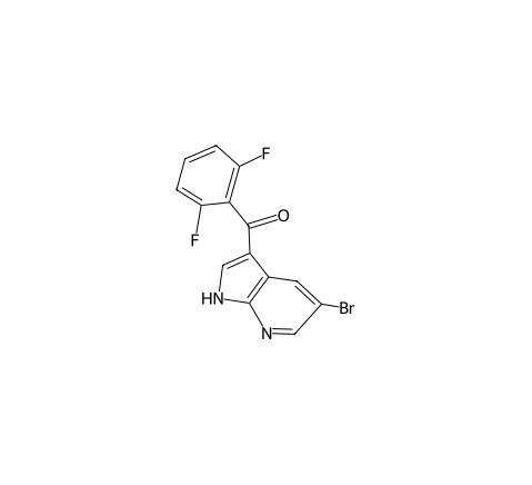 O=C(c1c(F)cccc1F)c1c[nH]c2ncc(Br)cc12